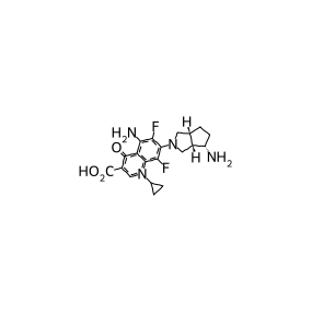 Nc1c(F)c(N2C[C@@H]3CC[C@H](N)[C@@H]3C2)c(F)c2c1c(=O)c(C(=O)O)cn2C1CC1